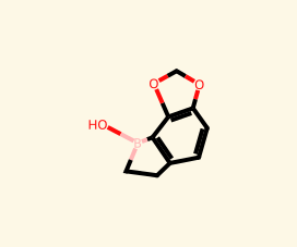 OB1CCc2ccc3c(c21)OCO3